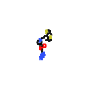 Cc1ccsc1C(=CCCN1CCC[C@@H](C(=O)OCCN=[N+]=[N-])C1)c1sccc1C